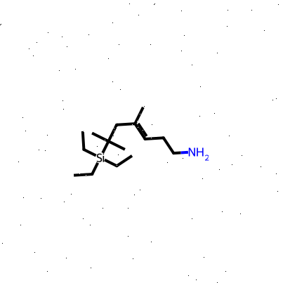 CC[Si](CC)(CC)C(C)(C)CC(C)=CCCN